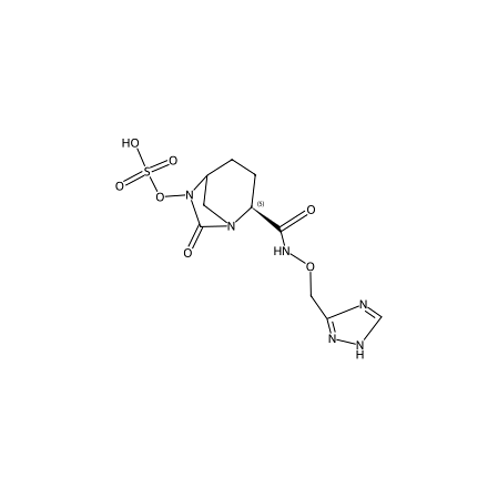 O=C(NOCc1nc[nH]n1)[C@@H]1CCC2CN1C(=O)N2OS(=O)(=O)O